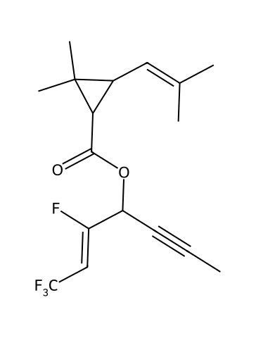 CC#CC(OC(=O)C1C(C=C(C)C)C1(C)C)C(F)=CC(F)(F)F